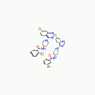 O=C(NC1CCN(c2ncnc3cc(Cl)ccc23)CC1)c1cccc(Br)c1.O=C(NC1CCN(c2ncnc3cc(Cl)ccc23)CC1)c1ccccc1Cl